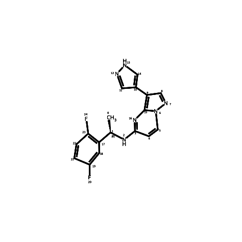 C[C@@H](Nc1ccn2ncc(-c3cn[nH]c3)c2n1)c1cc(F)ccc1F